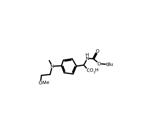 COCCN(C)c1ccc(C(NC(=O)OC(C)(C)C)C(=O)O)cc1